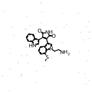 CSc1cccc2c(C3=C(c4c[nH]c5ccccc45)C(=O)NC3=O)cn(CCN)c12